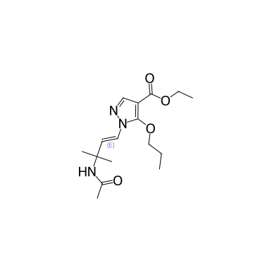 CCCOc1c(C(=O)OCC)cnn1/C=C/C(C)(C)NC(C)=O